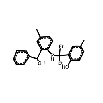 CCC(CC)(Pc1ccc(C)cc1C(O)c1ccccc1)c1cc(C)ccc1O